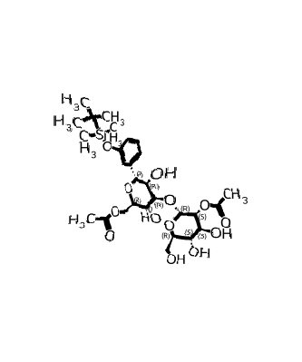 CC(=O)OC[C@H]1O[C@H](c2cccc(O[Si](C)(C)C(C)(C)C)c2)[C@@H](O)[C@@H](O[C@H]2O[C@H](CO)[C@@H](O)[C@H](O)[C@@H]2OC(C)=O)[C@@H]1O